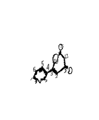 O=C1C=C(c2cccnc2)OC(=O)C1